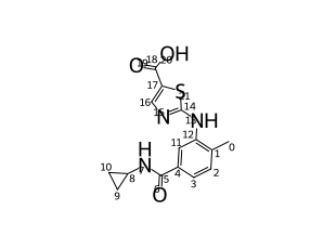 Cc1ccc(C(=O)NC2CC2)cc1Nc1ncc(C(=O)O)s1